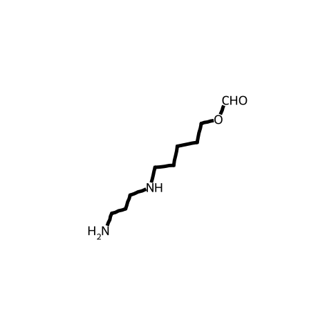 NCCCNCCCCCOC=O